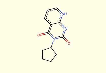 O=c1nc2[nH]cccc-2c(=O)n1C1CCCC1